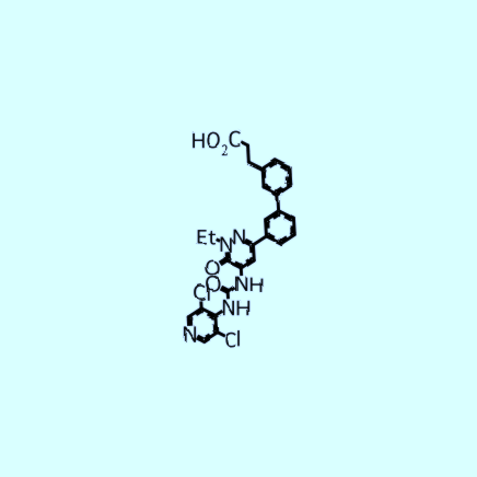 CCn1nc(-c2cccc(-c3cccc(CCC(=O)O)c3)c2)cc(NC(=O)Nc2c(Cl)cncc2Cl)c1=O